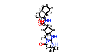 CCC1(CC)CC(=O)N([C@H](C)c2cccc(C(=O)N[C@@H]3c4ccccc4CC3(C)O)c2)C(=N)N1